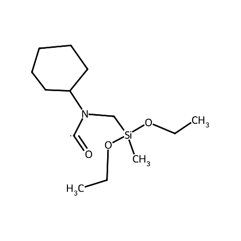 CCO[Si](C)(CN([C]=O)C1CCCCC1)OCC